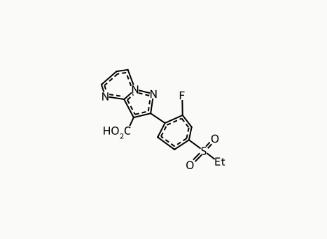 CCS(=O)(=O)c1ccc(-c2nn3cccnc3c2C(=O)O)c(F)c1